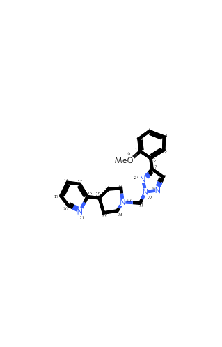 COc1ccccc1-c1cnn(CN2CCC(c3ccccn3)CC2)n1